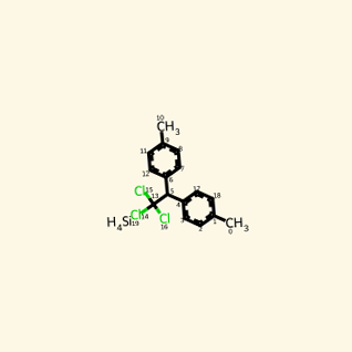 Cc1ccc(C(c2ccc(C)cc2)C(Cl)(Cl)Cl)cc1.[SiH4]